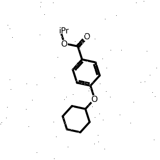 CC(C)OC(=O)c1ccc(OC2CCCCC2)cc1